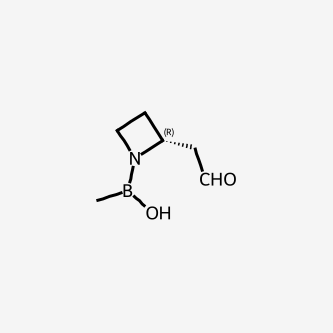 CB(O)N1CC[C@@H]1CC=O